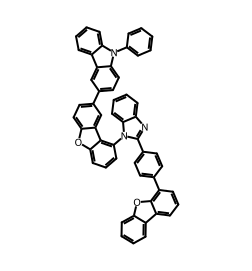 c1ccc(-n2c3ccccc3c3cc(-c4ccc5oc6cccc(-n7c(-c8ccc(-c9cccc%10c9oc9ccccc9%10)cc8)nc8ccccc87)c6c5c4)ccc32)cc1